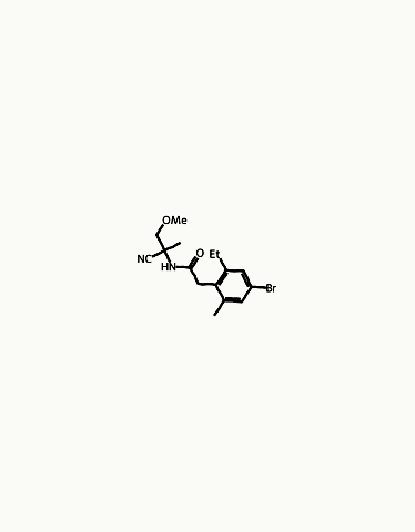 CCc1cc(Br)cc(C)c1CC(=O)NC(C)(C#N)COC